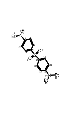 CCN(CC)c1ccc(S(=O)(=O)c2ccc(N(CC)CC)cc2)cc1